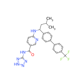 CC(C)CC(Nc1ccc(C(=O)Nc2nn[nH]n2)cn1)c1ccc(-c2ccc(C(F)(F)F)cc2)cc1